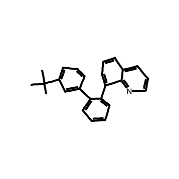 CC(C)(C)c1cccc(-c2ccccc2-c2cccc3cccnc23)c1